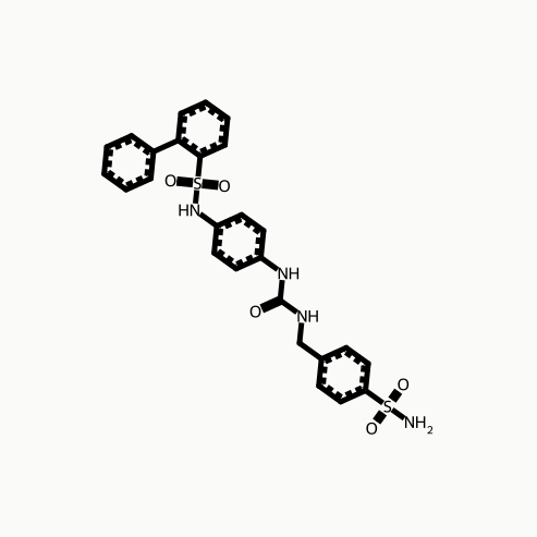 NS(=O)(=O)c1ccc(CNC(=O)Nc2ccc(NS(=O)(=O)c3ccccc3-c3ccccc3)cc2)cc1